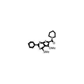 COc1c(C(=O)N2CCCCC2)sc2nc(-c3ccccc3)nc(SC)c12